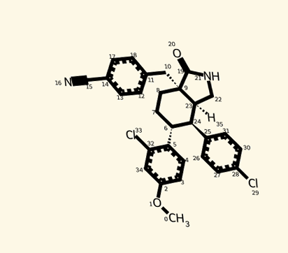 COc1ccc([C@@H]2CC[C@@]3(Cc4ccc(C#N)cc4)C(=O)NC[C@H]3[C@H]2c2ccc(Cl)cc2)c(Cl)c1